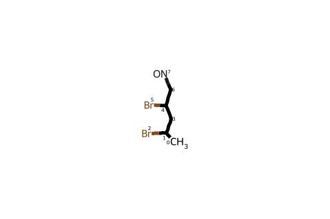 CC(Br)CC(Br)CN=O